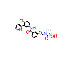 O=C(NO)NCOc1cccc(C(=O)Nc2ccc(Cl)c(-c3ccccn3)c2)c1